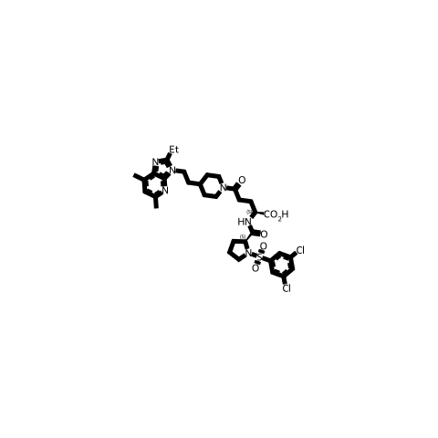 CCc1nc2c(C)cc(C)nc2n1CCC1CCN(C(=O)CC[C@H](NC(=O)[C@@H]2CCCN2S(=O)(=O)c2cc(Cl)cc(Cl)c2)C(=O)O)CC1